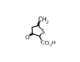 C=C1CC(=O)C(C(=O)O)S1